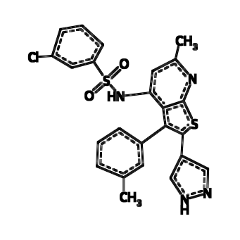 Cc1cccc(-c2c(-c3cn[nH]c3)sc3nc(C)cc(NS(=O)(=O)c4cccc(Cl)c4)c23)c1